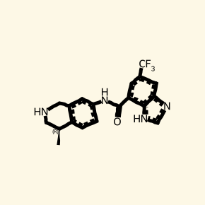 C[C@H]1CNCc2cc(NC(=O)c3cc(C(F)(F)F)cc4nc[nH]c34)ccc21